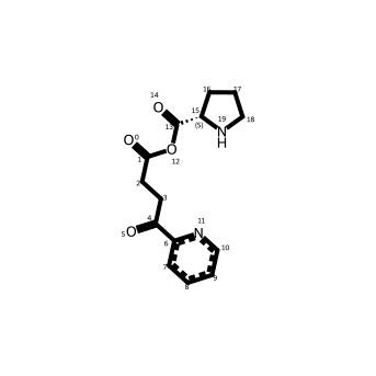 O=C(CCC(=O)c1ccccn1)OC(=O)[C@@H]1CCCN1